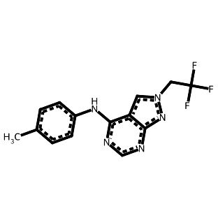 Cc1ccc(Nc2ncnc3nn(CC(F)(F)F)cc23)cc1